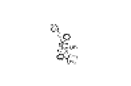 CC(C)c1ccccc1SC1=C(O)CC(CCCCN2CCOCC2)(c2ccccc2)OC1=O